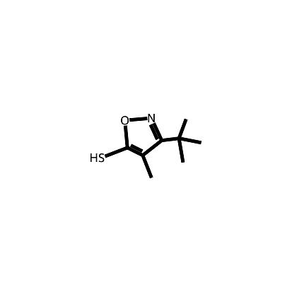 Cc1c(C(C)(C)C)noc1S